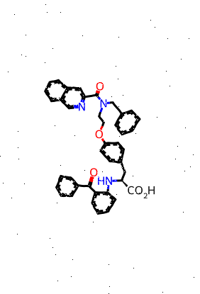 O=C(c1ccccc1)c1ccccc1N[C@@H](Cc1ccc(OCCN(Cc2ccccc2)C(=O)c2cc3ccccc3cn2)cc1)C(=O)O